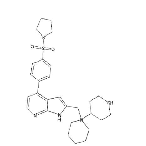 O=S(=O)(c1ccc(-c2ccnc3[nH]c(C[N+]4(C5CCNCC5)CCCCC4)cc23)cc1)N1CCCC1